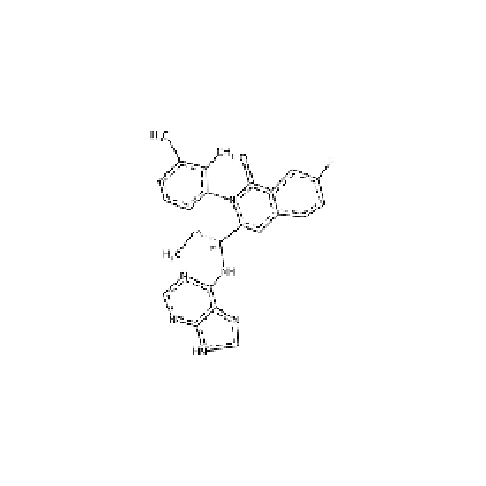 CC[C@@H](Nc1ncnc2[nH]cnc12)c1cc2ccc(F)cc2c(=O)n1-c1cccc(C)c1C